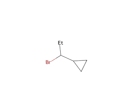 CCC(Br)C1CC1